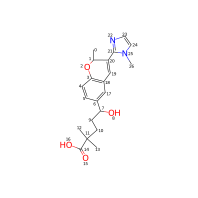 CC1Oc2ccc(C(O)CCC(C)(C)C(=O)O)cc2C=C1c1nccn1C